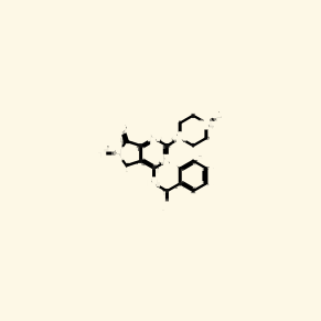 CCC(Nc1nc(N2CCN(C(C)=O)CC2)nc2c1CN(C(C)C)C2=O)c1ccccc1